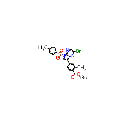 Cc1ccc(S(=O)(=O)n2cc(-c3ccc(C(=O)OC(C)(C)C)c(C)c3)c3nc(Br)cnc32)cc1